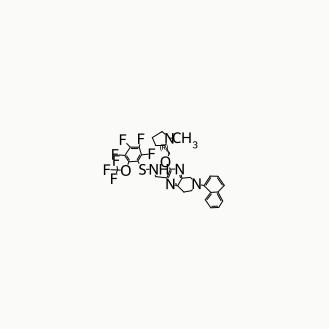 CN1CCC[C@@H]1COc1nc2c(nc1CNSc1c(F)c(F)c(F)c(F)c1OC(F)(F)F)CCN(c1cccc3ccccc13)C2